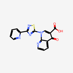 O=C(O)c1cn(-c2nc(-c3ccccn3)ns2)c2ncccc2c1=O